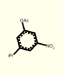 [CH2]C(C)c1cc(OC(C)=O)cc([N+](=O)[O-])c1